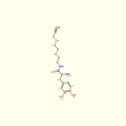 C#CCOCCOCCNC(=O)C(N)Cc1ccc(O)c(O)c1